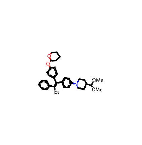 CCC(=C(c1ccc(O[C@H]2CCCCO2)cc1)c1ccc(N2CCC(C(OC)OC)CC2)cc1)c1ccccc1